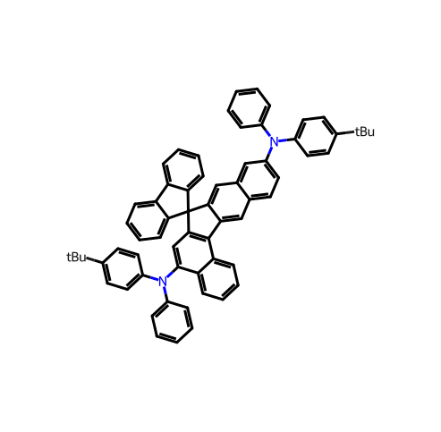 CC(C)(C)c1ccc(N(c2ccccc2)c2ccc3cc4c(cc3c2)C2(c3ccccc3-c3ccccc32)c2cc(N(c3ccccc3)c3ccc(C(C)(C)C)cc3)c3ccccc3c2-4)cc1